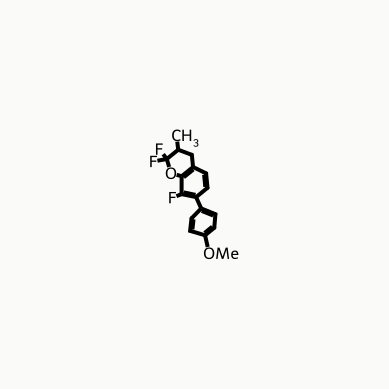 COc1ccc(-c2ccc3c(c2F)OC(F)(F)C(C)C3)cc1